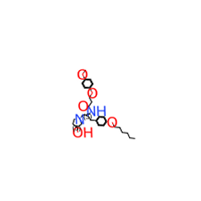 CCCCCCOc1ccc(C[C@@H](CN2CC[C@H](O)C2)NC(=O)CCOc2ccc(OC)cc2)cc1